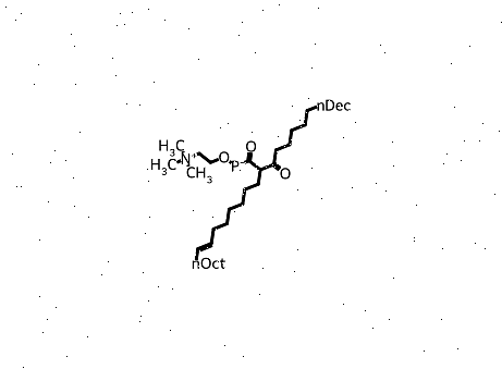 CCCCCCCCC=CCCCCCCC(C(=O)CCCCCCCCCCCCCCC)C(=O)[P-]OCC[N+](C)(C)C